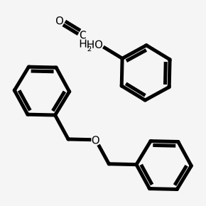 C=O.Oc1ccccc1.c1ccc(COCc2ccccc2)cc1